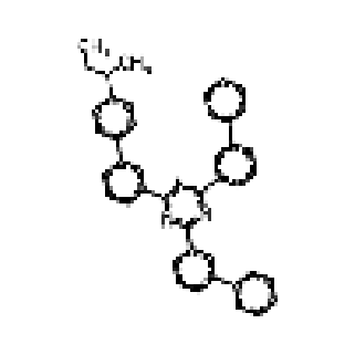 CC[C@@H](C)c1ccc(-c2cccc(-c3nc(-c4cccc(-c5ccccc5)c4)nc(-c4cccc(-c5ccccc5)c4)n3)c2)cc1